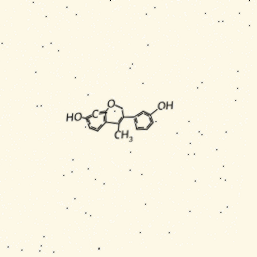 CC1=C(c2cccc(O)c2)COc2cc(O)ccc21